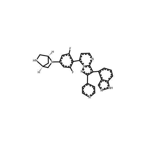 Fc1cc(N2C[C@@H]3C[C@H]2CN3)cc(F)c1-c1ccnc2c(-c3cccc4[nH]ncc34)c(-c3ccncc3)nn12